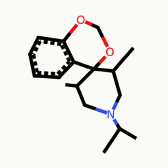 CC(C)N1CC(C)C2(OCOc3ccccc32)C(C)C1